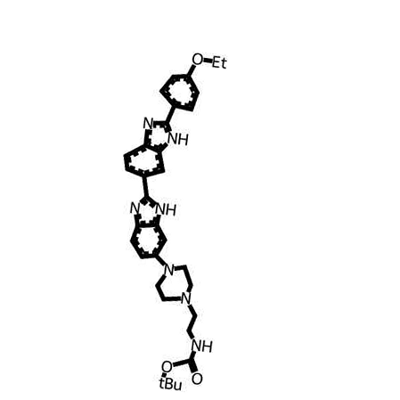 CCOc1ccc(-c2nc3ccc(-c4nc5ccc(N6CCN(CCNC(=O)OC(C)(C)C)CC6)cc5[nH]4)cc3[nH]2)cc1